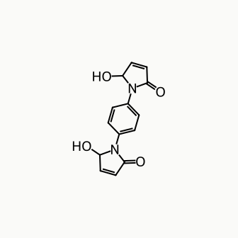 O=C1C=CC(O)N1c1ccc(N2C(=O)C=CC2O)cc1